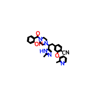 Cc1ncc(C(Cc2ccc(C#N)c(Oc3cccnc3C)c2)N2CCN(C(=O)c3ccccc3O)CC2)[nH]1